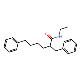 CCNC(=O)C(CCCCc1ccccc1)Cc1ccccc1